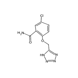 NC(=O)c1cc(Cl)ccc1OCc1nnn[nH]1